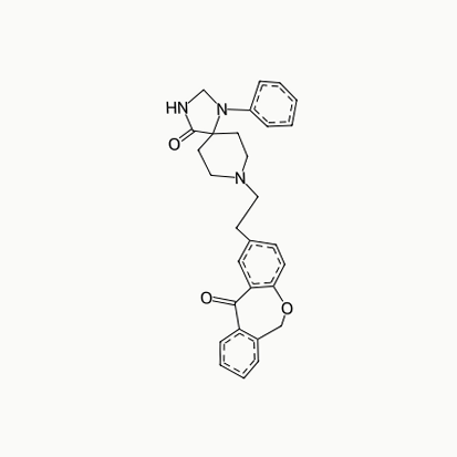 O=C1c2ccccc2COc2ccc(CCN3CCC4(CC3)C(=O)NCN4c3ccccc3)cc21